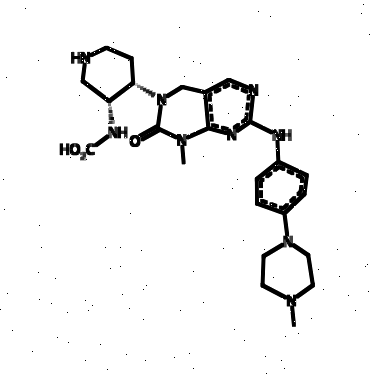 CN1CCN(c2ccc(Nc3ncc4c(n3)N(C)C(=O)N([C@H]3CCNC[C@H]3NC(=O)O)C4)cc2)CC1